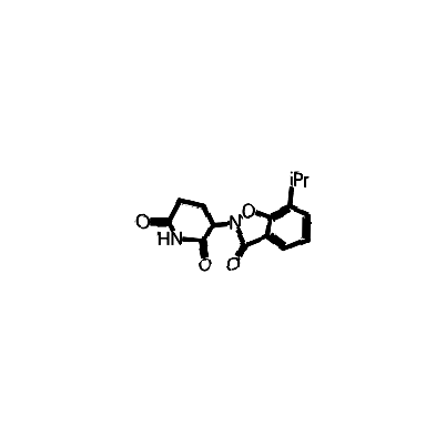 CC(C)c1cccc2c(=O)n(C3CCC(=O)NC3=O)oc12